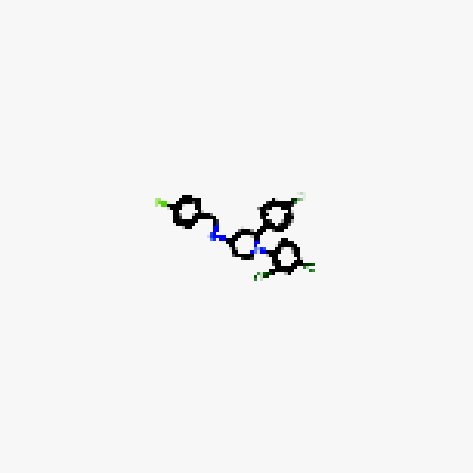 Fc1ccc(CNC2CCN(c3ccc(Cl)cc3Cl)C(c3ccc(Cl)cc3)C2)cc1